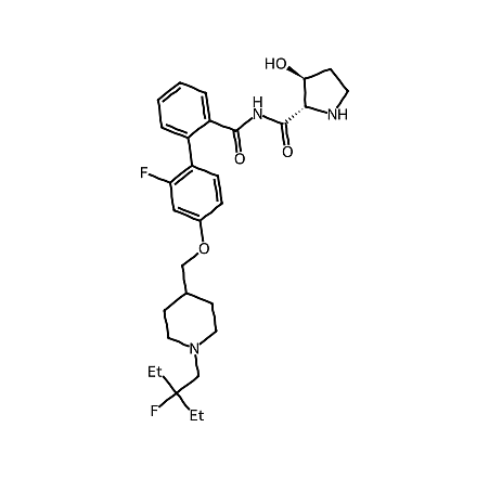 CCC(F)(CC)CN1CCC(COc2ccc(-c3ccccc3C(=O)NC(=O)[C@H]3NCC[C@@H]3O)c(F)c2)CC1